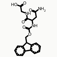 NC(=O)CC(NC(=O)OCC1c2ccccc2-c2ccccc21)C(=O)NCC(=O)O